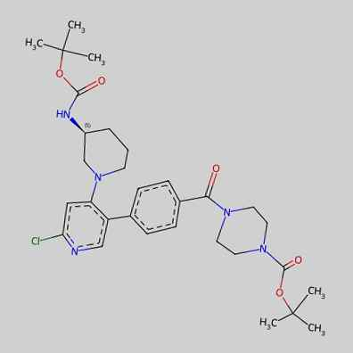 CC(C)(C)OC(=O)N[C@H]1CCCN(c2cc(Cl)ncc2-c2ccc(C(=O)N3CCN(C(=O)OC(C)(C)C)CC3)cc2)C1